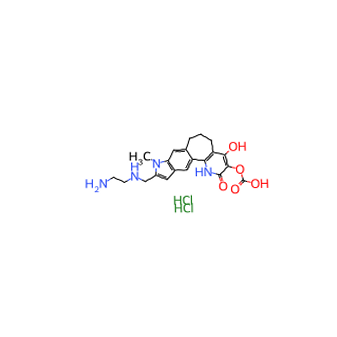 Cl.Cl.Cn1c(CNCCN)cc2cc3c(cc21)CCCc1c-3[nH]c(=O)c(OC(=O)O)c1O